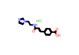 Cl.O=C(/C=C/c1ccc(C(=O)O)cc1)NCCn1ccnc1